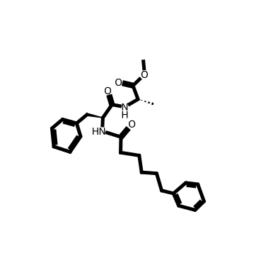 COC(=O)[C@H](C)NC(=O)[C@H](Cc1ccccc1)NC(=O)CCCCCc1ccccc1